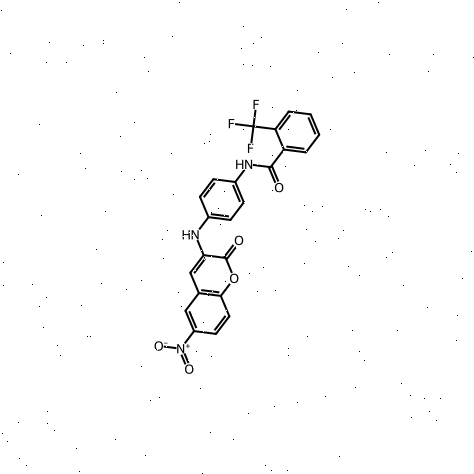 O=C(Nc1ccc(Nc2cc3cc([N+](=O)[O-])ccc3oc2=O)cc1)c1ccccc1C(F)(F)F